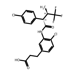 C[C@H]([C@H](C(=O)Nc1cc(CCC(=O)O)ccc1Cl)c1ccc(Cl)cc1)C(F)(F)F